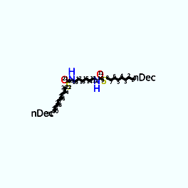 CCCCCCCCCCCCCCCCCCSC(=O)NCCCCCCNC(=O)SCCCCCCCCCCCCCCCCCC